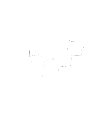 CC(O)C(NC(=O)OC(C)(C)C)C(Cl)c1ccccc1